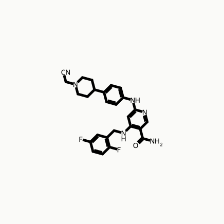 N#CCN1CCC(c2ccc(Nc3cc(NCc4cc(F)ccc4F)c(C(N)=O)cn3)cc2)CC1